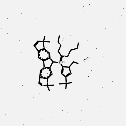 CCCC[C](CCCC)=[Zr+2]([C]1=CC(C(C)(C)C)=CC1CC)[CH]1c2cc3c(cc2-c2cc4c(cc21)C(C)(C)C=C4)C=CC3(C)C.[Cl-].[Cl-]